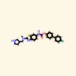 CN(CC1CCNC1)c1nc2ccc(NC(=O)Oc3ccc(-c4ccc(F)cc4)cc3)cc2s1